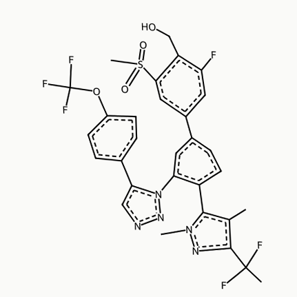 Cc1c(C(C)(F)F)nn(C)c1-c1ccc(-c2cc(F)c(CO)c(S(C)(=O)=O)c2)cc1-n1nncc1-c1ccc(OC(F)(F)F)cc1